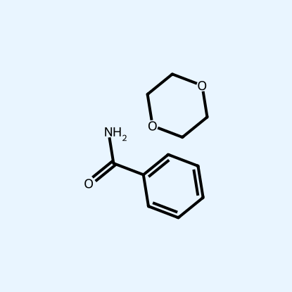 C1COCCO1.NC(=O)c1ccccc1